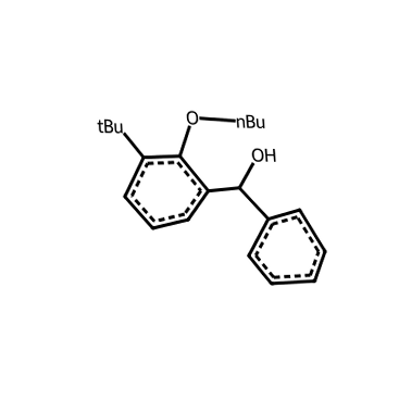 CCCCOc1c(C(O)c2ccccc2)cccc1C(C)(C)C